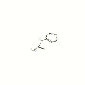 C/C=C(/C)C(C)c1ccccc1